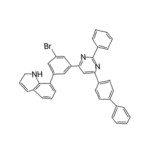 Brc1cc(-c2cc(-c3ccc(-c4ccccc4)cc3)nc(-c3ccccc3)n2)cc(-c2cccc3c2NCC=C3)c1